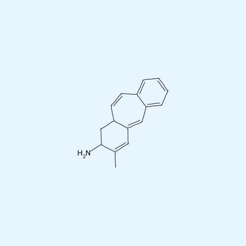 CC1=CC2=Cc3ccccc3C=CC2CC1N